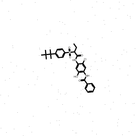 CCC(C(=O)Nc1cc(O)c(NC(=O)c2ccccc2)cc1Cl)S(=O)(=O)c1ccc(C(C)(C)C(C)(C)C)cc1